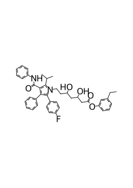 CCc1cccc(OC(=O)CC(O)CC(O)CCn2c(-c3ccc(F)cc3)c(-c3ccccc3)c(C(=O)Nc3ccccc3)c2C(C)C)c1